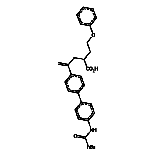 C=C(CC(CCOc1ccccc1)C(=O)O)c1ccc(-c2ccc(NC(=O)CCCC)cc2)cc1